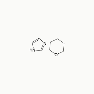 C1CCOCC1.c1c[nH]cn1